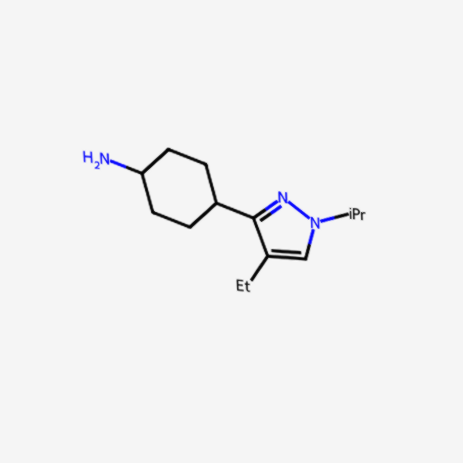 CCc1cn(C(C)C)nc1C1CCC(N)CC1